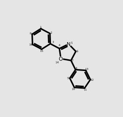 c1ccc(C2=NCC(c3ccccc3)O2)cc1